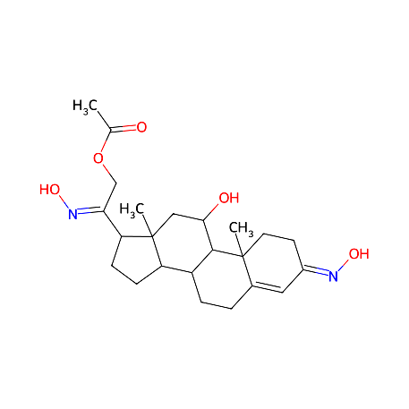 CC(=O)OC/C(=N\O)C1CCC2C3CCC4=C/C(=N/O)CCC4(C)C3C(O)CC12C